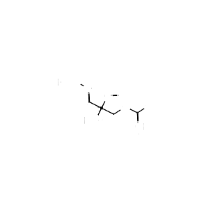 O=C(O)OCC(O)(COC(O)O)OC(=O)O